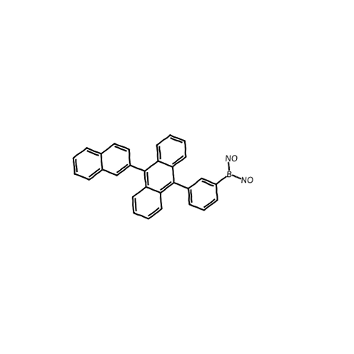 O=NB(N=O)c1cccc(-c2c3ccccc3c(-c3ccc4ccccc4c3)c3ccccc23)c1